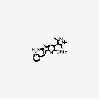 COc1nc2c(cc1-c1c(C)nn(C)c1C)nc(N)n2Cc1ccccc1